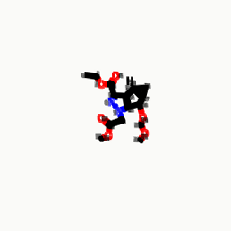 CCOC(=O)c1nn(CC(=O)OC)c2c1[C@H]1CC1C2OCOC